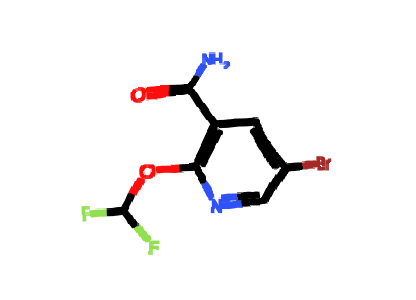 NC(=O)c1cc(Br)cnc1OC(F)F